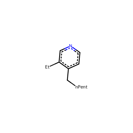 [CH2]Cc1cnccc1CCCCCC